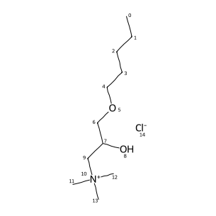 CCCCCOCC(O)C[N+](C)(C)C.[Cl-]